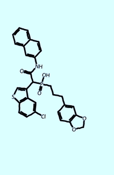 O=C(Nc1ccc2ccccc2c1)C(c1csc2ccc(Cl)cc12)P(=O)(O)CCCc1ccc2c(c1)OCO2